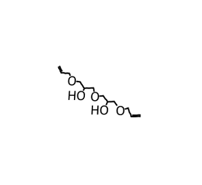 C=CCOCC(O)COCC(O)COCC=C